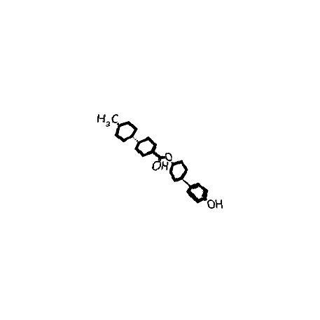 C[C@H]1CC[C@H](C2CCC(C(O)O[C@H]3CC[C@H](c4ccc(O)cc4)CC3)CC2)CC1